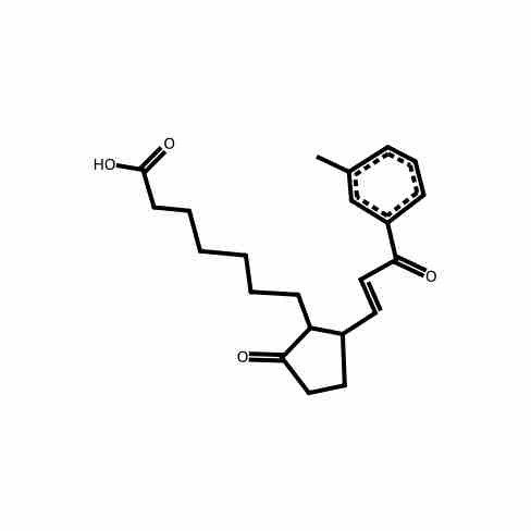 Cc1cccc(C(=O)C=CC2CCC(=O)C2CCCCCCC(=O)O)c1